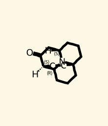 C[C@@]12CCCC34CCC[C@@H](CC(=O)[C@H]1CC3)N42